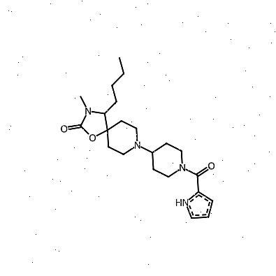 CCCCC1N(C)C(=O)OC12CCN(C1CCN(C(=O)c3ccc[nH]3)CC1)CC2